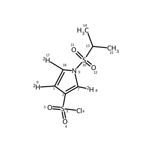 [2H]c1c(S(=O)(=O)Cl)c([2H])n(S(=O)(=O)C(C)C)c1[2H]